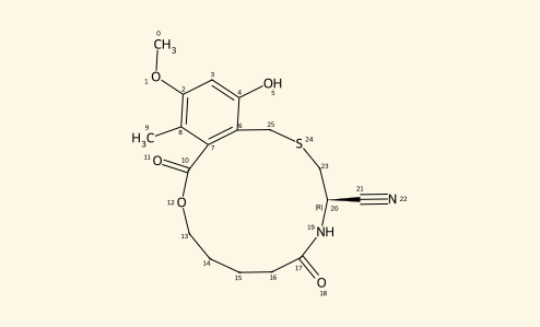 COc1cc(O)c2c(c1C)C(=O)OCCCCC(=O)N[C@H](C#N)CSC2